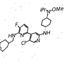 CON(C(C)C)[C@H]1CC[C@H](Nc2cc(-c3ccc(F)c(NCC4CCOCC4)n3)c(Cl)cn2)CC1